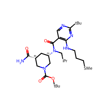 CSCCCNc1nc(C(C)(C)C)ncc1C(=O)N(CC(C)C)[C@H]1C[C@@H](C(N)=O)CN(C(=O)OC(C)(C)C)C1